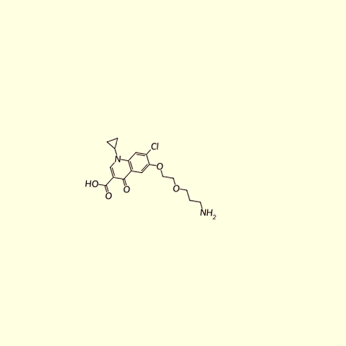 NCCCOCCOc1cc2c(=O)c(C(=O)O)cn(C3CC3)c2cc1Cl